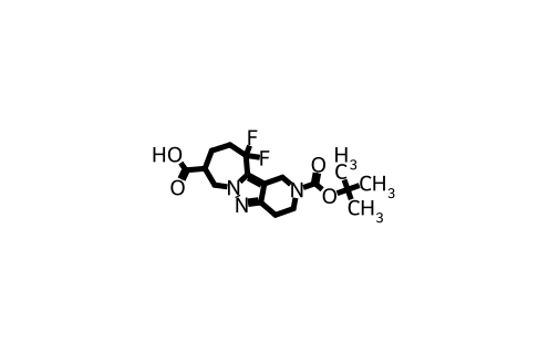 CC(C)(C)OC(=O)N1CCc2nn3c(c2C1)C(F)(F)CCC(C(=O)O)C3